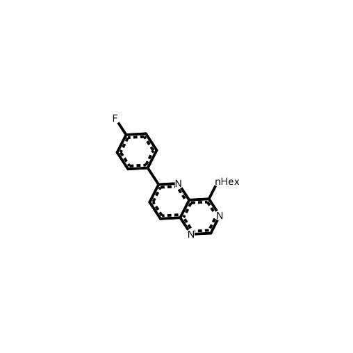 CCCCCCc1ncnc2ccc(-c3ccc(F)cc3)nc12